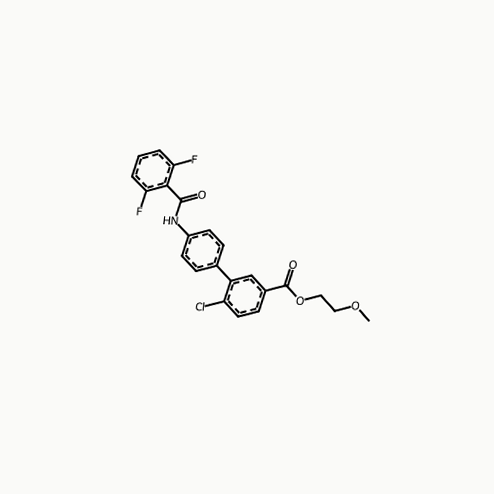 COCCOC(=O)c1ccc(Cl)c(-c2ccc(NC(=O)c3c(F)cccc3F)cc2)c1